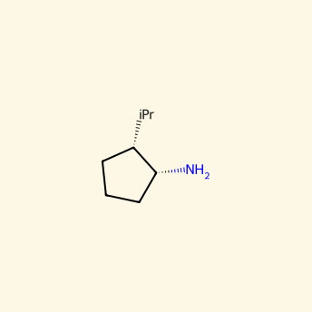 CC(C)[C@H]1CCC[C@H]1N